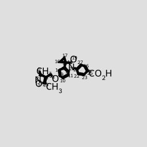 Cc1noc(C)c1COc1ccc2c(c1)C1(CC1)C(=O)N2c1ccc(C(=O)O)cc1